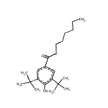 [CH2]CCCCCCC(=O)c1cc(C(C)(C)C)c(O)c(C(C)(C)C)c1